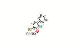 CCCCCCOc1c(Br)ccc(-c2ccccc2)c1F